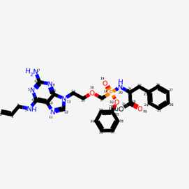 C=CCNc1nc(N)nc2c1ncn2CCOCP(=O)(NC(Cc1ccccc1)C(=O)OCC(C)C)Oc1ccccc1